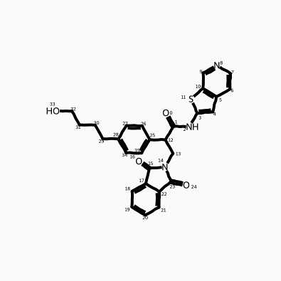 O=C(Nc1cc2ccncc2s1)C(CN1C(=O)c2ccccc2C1=O)c1ccc(CCCCO)cc1